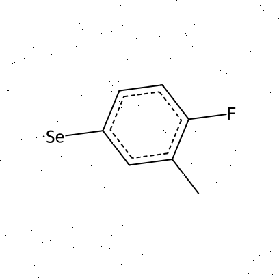 Cc1cc([Se])ccc1F